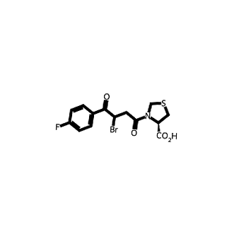 O=C(c1ccc(F)cc1)C(Br)CC(=O)N1CSC[C@H]1C(=O)O